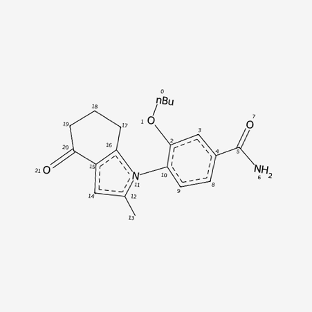 CCCCOc1cc(C(N)=O)ccc1-n1c(C)cc2c1CCCC2=O